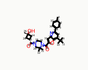 Cc1ccc(-c2cc(C(C)(C)C)c3oc(C(=O)N4CCN(C(=O)[C@H]5C[C@@](C)(O)C5)CC4(C)C)cc3n2)cc1